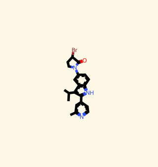 Cc1cc(-c2[nH]c3ccc(N4CCC(Br)C4=O)cc3c2C(C)C)ccn1